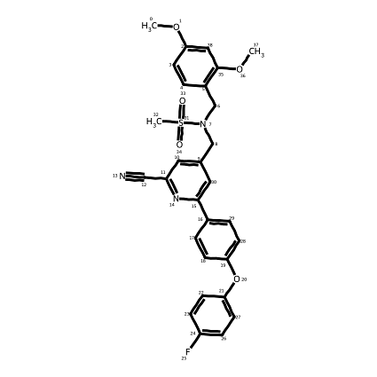 COc1ccc(CN(Cc2cc(C#N)nc(-c3ccc(Oc4ccc(F)cc4)cc3)c2)S(C)(=O)=O)c(OC)c1